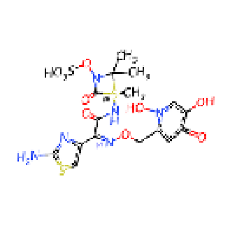 CC1(C)N(OS(=O)(=O)O)C(=O)[S@@]1(C)NC(=O)/C(=N\OCc1cc(=O)c(O)cn1O)c1csc(N)n1